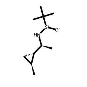 C[C@H](N[S+]([O-])C(C)(C)C)[C@H]1C[C@@H]1C